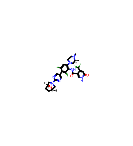 C[C@H]1CN(c2cc(F)c(-c3cnc(N4C[C@@H]5CC[C@@H](C4)O5)nc3)c(F)c2NC(=O)c2c[nH]c(=O)cc2C(F)F)CCN1C